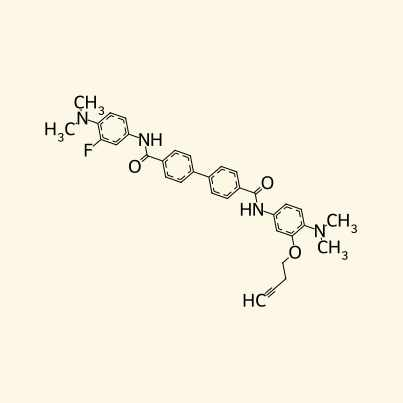 C#CCCOc1cc(NC(=O)c2ccc(-c3ccc(C(=O)Nc4ccc(N(C)C)c(F)c4)cc3)cc2)ccc1N(C)C